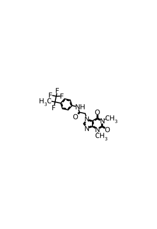 Cn1c(=O)c2c(ncn2CC(=O)Nc2ccc(C(C)(F)C(F)(F)F)cc2)n(C)c1=O